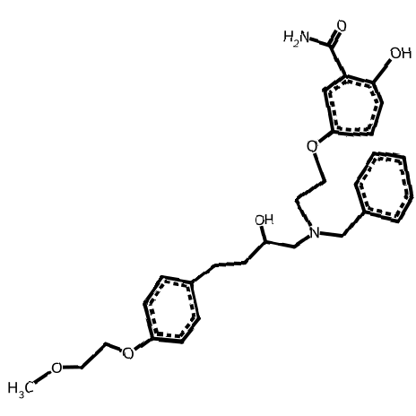 COCCOc1ccc(CCC(O)CN(CCOc2ccc(O)c(C(N)=O)c2)Cc2ccccc2)cc1